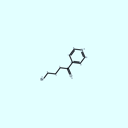 O=C(CCCBr)c1ccncc1